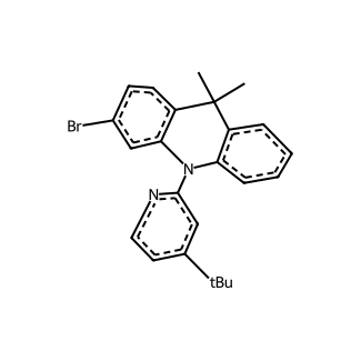 CC(C)(C)c1ccnc(N2c3ccccc3C(C)(C)c3ccc(Br)cc32)c1